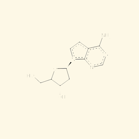 Nc1ncnc2c1ccn2[C@H]1C[C@H](O)C(CO)O1